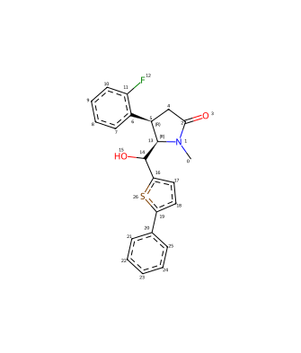 CN1C(=O)C[C@H](c2ccccc2F)[C@@H]1C(O)c1ccc(-c2ccccc2)s1